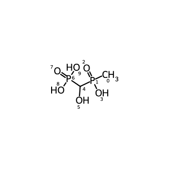 CP(=O)(O)C(O)P(=O)(O)O